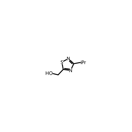 CC(C)c1nsc(CO)n1